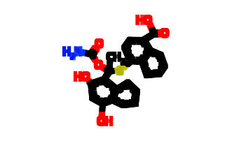 CC(OC(N)=O)(Sc1ccc(C(=O)O)c2ccccc12)c1c(O)cc(O)c2ccccc12